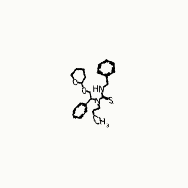 CCCN(C(=S)NCc1ccccc1)C(COC1CCCCO1)c1ccccc1